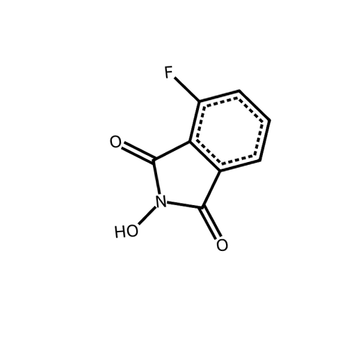 O=C1c2cccc(F)c2C(=O)N1O